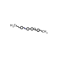 CCCCCC1CCC(/C=C/C2CCC(C3CCC(OCC4C=CC(CCC)CC4)CC3)CC2)CC1